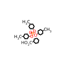 Cc1ccc(OP(=O)(Oc2ccc(C)cc2)Oc2ccc(C)cc2)cc1.O=C(O)c1ccccc1